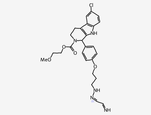 COCCOC(=O)N1CCc2c([nH]c3ccc(Cl)cc23)C1c1ccc(OCCCN/N=C\C=N)cc1